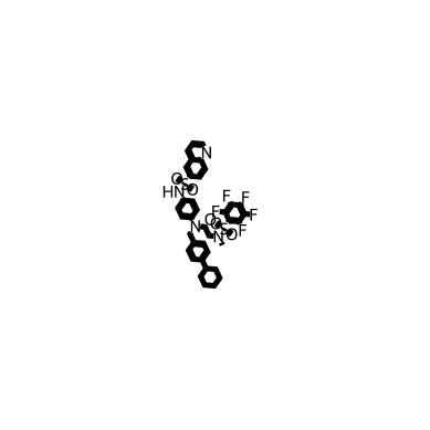 CN(CC(=O)N(Cc1ccc(C2CCCCC2)cc1)c1ccc(NS(=O)(=O)c2ccc3ncccc3c2)cc1)S(=O)(=O)c1c(F)c(F)c(F)c(F)c1F